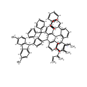 C=CC(=C)N(C(=C)/C=C\C)c1ccc2c(c1)N(c1c(-c3ccccc3)cccc1-c1ccccc1)c1cc(-c3ccccc3)cc3c1B2c1ccc(-n2c4ccc(C(C)(C)C)cc4c4cc(C(C)(C)C)ccc42)cc1C3(c1ccccc1)c1ccccc1